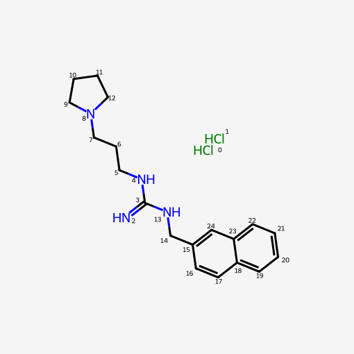 Cl.Cl.N=C(NCCCN1CCCC1)NCc1ccc2ccccc2c1